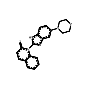 O=c1ccc2ccccc2n1-c1nc2cc(N3CCOCC3)ccc2[nH]1